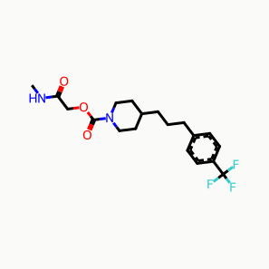 CNC(=O)COC(=O)N1CCC(CCCc2ccc(C(F)(F)F)cc2)CC1